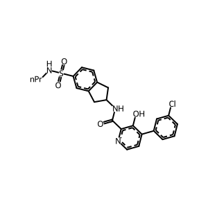 CCCNS(=O)(=O)c1ccc2c(c1)CC(NC(=O)c1nccc(-c3cccc(Cl)c3)c1O)C2